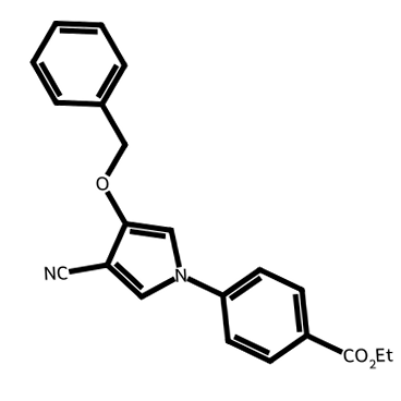 CCOC(=O)c1ccc(-n2cc(C#N)c(OCc3ccccc3)c2)cc1